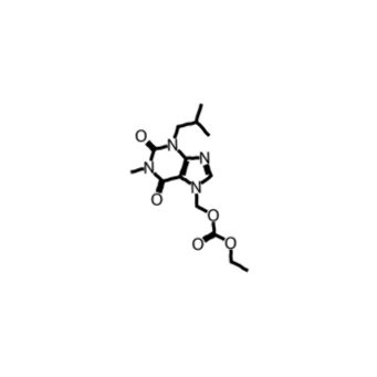 CCOC(=O)OCn1cnc2c1c(=O)n(C)c(=O)n2CC(C)C